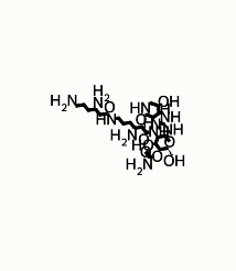 NCCCC(N)CC(=O)NCCCC(N)CC(=O)NC1[C@H](NC2=N[C@@H]3C(=O)NC[C@@H](O)[C@H]3N2)O[C@H](CO)[C@H](OC(N)=O)[C@H]1O